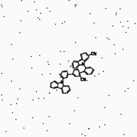 N#Cc1ccc2c3ccccc3n(-c3ccccc3-c3ccc(-c4cccc(-n5c6ccccc6c6ccccc65)c4)cc3C#N)c2c1